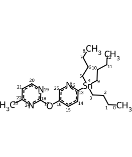 CCC[CH2][Sn]([CH2]CCC)([CH2]CCC)[c]1ccc(Oc2nccc(C)n2)cn1